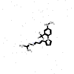 CNc1ccc(-n2cccc2/C=C/C=N/N=C(N)N)c(C(F)(F)F)c1